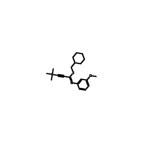 COc1cccc(N=C(C#C[Si](C)(C)C)SCC2CCCCC2)c1